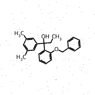 CCC(O)(c1cc(C)cc(C)c1)c1ccccc1OCc1ccccc1